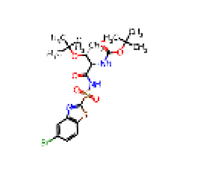 C[C@@H](OC(C)(C)C)[C@H](NC(=O)OC(C)(C)C)C(=O)NS(=O)(=O)c1nc2cc(Br)ccc2s1